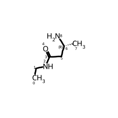 CCNC(=O)C[C@@H](C)N